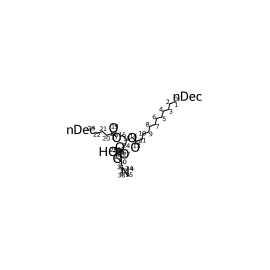 CCCCCCCCCCCCCCCCCCCCCC(=O)OC(COC(=O)CCCCCCCCCCCCC)COP(=O)(O)OCC[N+](C)(C)C